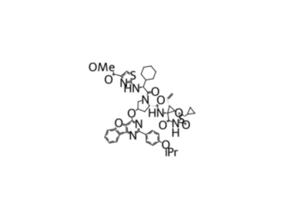 C=C[C@@H]1C[C@]1(NC(=O)[C@@H]1C[C@@H](Oc2nc(-c3ccc(OC(C)C)cc3)nc3c2oc2ccccc23)CN1C(=O)[C@@H](Nc1nc(C(=O)OC)cs1)C1CCCCC1)C(=O)NS(=O)(=O)C1CC1